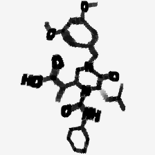 COc1cc(CN2CC(C(C)C(=O)O)N(C(=O)NC3CCCCC3)[C@@H](CC(C)C)C2=O)cc(OC)c1